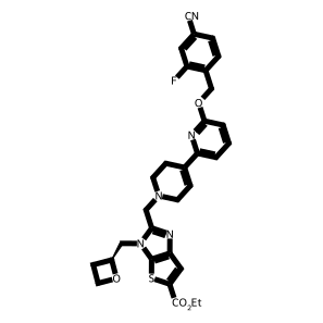 CCOC(=O)c1cc2nc(CN3CC=C(c4cccc(OCc5ccc(C#N)cc5F)n4)CC3)n(C[C@@H]3CCO3)c2s1